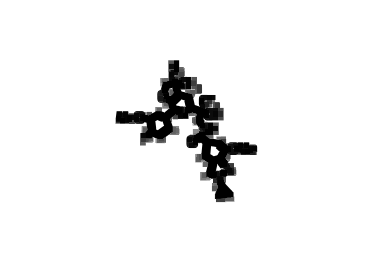 COc1cc(-c2nc([C@@](O)(CNC(=O)c3cc(OC)c4nn(C5CC5)cc4c3)C(F)(F)F)cc3c2OCC3(C)C)ccc1F